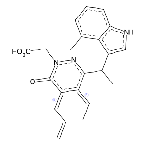 C=C/C=c1/c(=O)n(CC(=O)O)nc(C(C)c2c[nH]c3cccc(C)c23)/c1=C/C